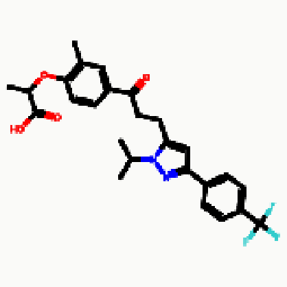 Cc1cc(C(=O)CCc2cc(-c3ccc(C(F)(F)F)cc3)nn2C(C)C)ccc1OC(C)C(=O)O